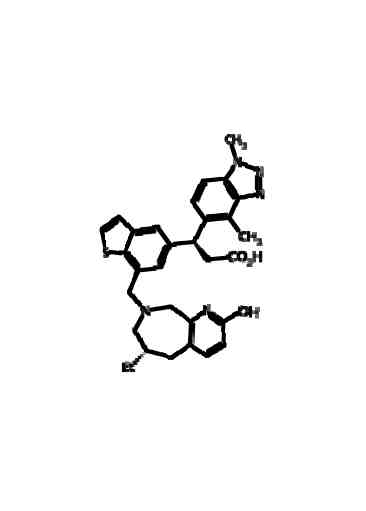 CC[C@H]1Cc2ccc(O)nc2CN(Cc2cc([C@H](CC(=O)O)c3ccc4c(nnn4C)c3C)cc3ccsc23)C1